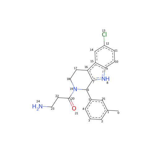 Cc1cccc(C2c3[nH]c4ccc(Cl)cc4c3CCN2C(=O)CCN)c1